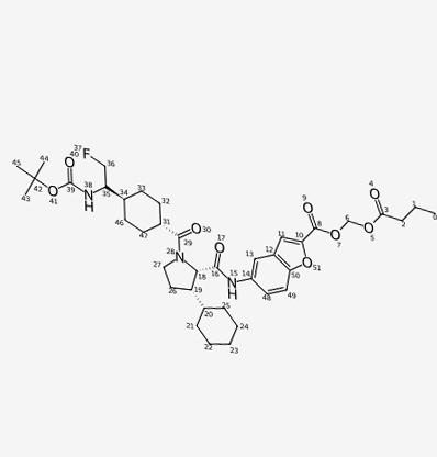 CCCC(=O)OCOC(=O)c1cc2cc(NC(=O)[C@@H]3[C@H](C4CCCCC4)CCN3C(=O)[C@H]3CC[C@H](C(CF)NC(=O)OC(C)(C)C)CC3)ccc2o1